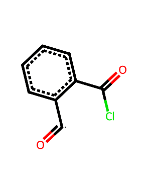 O=[C]c1ccccc1C(=O)Cl